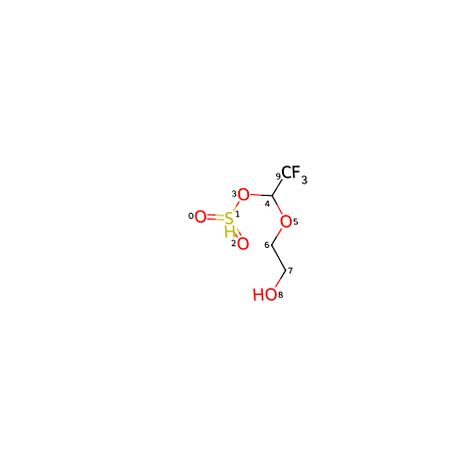 O=[SH](=O)OC(OCCO)C(F)(F)F